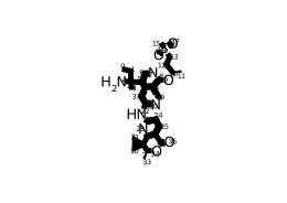 CCC(C)(N)c1cnc(O[C@H](C)CCS(C)(=O)=O)c2cnc(Nc3ccc4c(n3)C3(CC3)[C@H](C)OC4=O)cc12